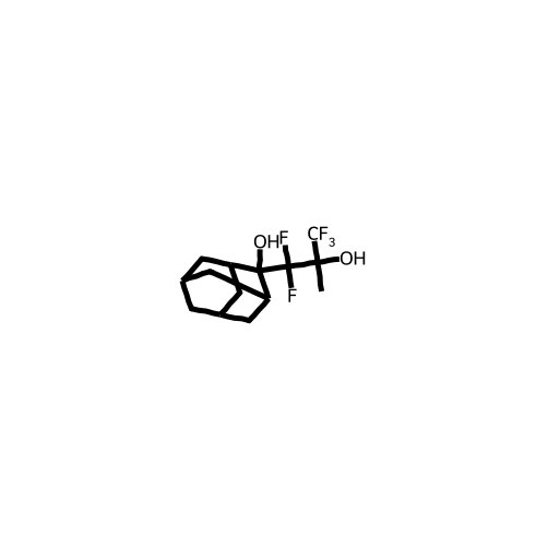 CC(O)(C(F)(F)F)C(F)(F)C1(O)C2CC3CC(C2)CC1C3